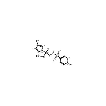 Cc1ccc(S(=O)(=O)OCC(C)(CO)n2ccc(I)n2)cc1